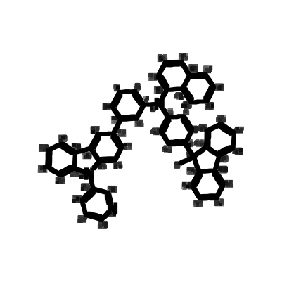 CC1(c2ccc(N(c3cccc(-c4ccc5c(c4)c4ccccc4n5-c4cccnc4)c3)c3cccc4ccccc34)cc2)c2ccccc2-c2ccccc21